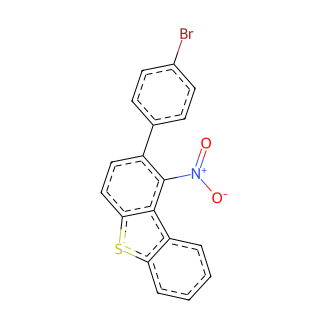 O=[N+]([O-])c1c(-c2ccc(Br)cc2)ccc2sc3ccccc3c12